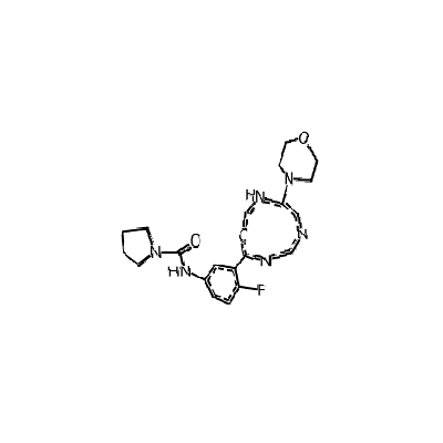 O=C(Nc1ccc(F)c(-c2cc[nH]c(N3CCOCC3)cncn2)c1)N1CCCC1